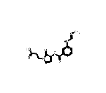 NN=CNc1cccc(C(=O)NC2CCN(CCC(=O)O)C2=O)c1